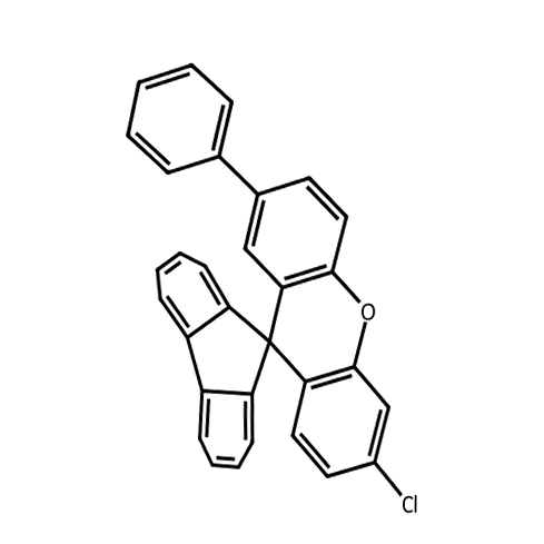 Clc1ccc2c(c1)Oc1ccc(-c3ccccc3)cc1C21c2ccccc2-c2ccccc21